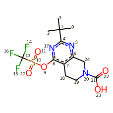 CC(C)(C)c1nc2c(c(OS(=O)(=O)C(F)(F)F)n1)CCN(C(=O)O)C2